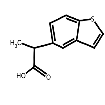 CC(C(=O)O)c1ccc2sccc2c1